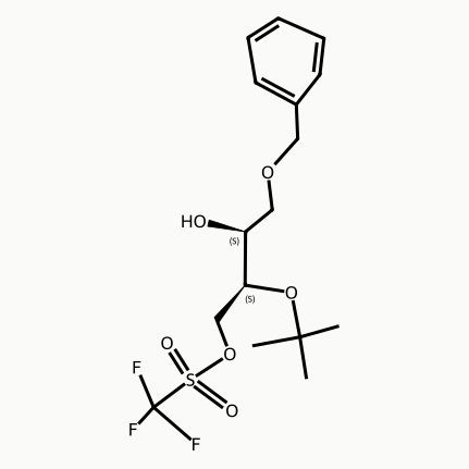 CC(C)(C)O[C@@H](COS(=O)(=O)C(F)(F)F)[C@@H](O)COCc1ccccc1